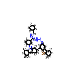 N/C(=N\Cc1ccccc1)c1cccc(-n2c3ccccc3c3ccc(-c4cccc5c4sc4ccccc45)cc32)c1